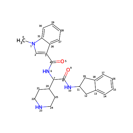 Cn1cc(C(=O)NC(C(=O)NC2Cc3ccccc3C2)C2CCNCC2)c2ccccc21